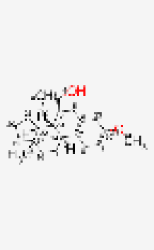 CC[C@]1(CO)CC2=C(CC=C(OC)C2)[C@H]2CC[C@]3(C)CCC[C@@H]3[C@@H]21